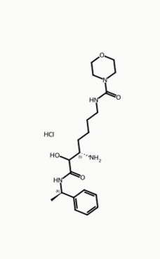 C[C@@H](NC(=O)C(O)[C@@H](N)CCCCNC(=O)N1CCOCC1)c1ccccc1.Cl